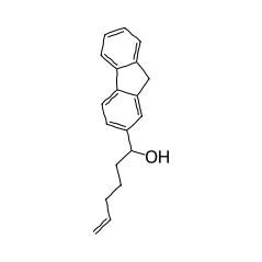 C=CCCCC(O)c1ccc2c(c1)Cc1ccccc1-2